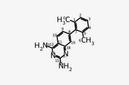 Cc1cccc(C)c1-c1ccc2c(N)nc(N)nc2c1